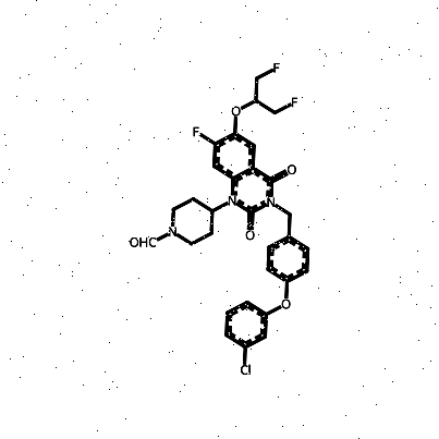 O=CN1CCC(n2c(=O)n(Cc3ccc(Oc4cccc(Cl)c4)cc3)c(=O)c3cc(OC(CF)CF)c(F)cc32)CC1